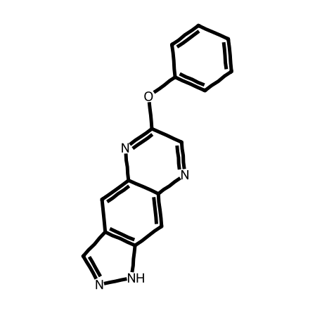 c1ccc(Oc2cnc3cc4[nH]ncc4cc3n2)cc1